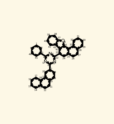 c1ccc(-c2nc(-c3ccc4ccc5ccccc5c4c3)nc(-c3cc4ccc5ccccc5c4c4oc5ccccc5c34)n2)cc1